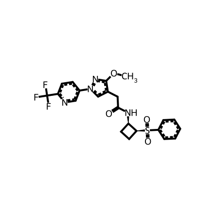 COc1nn(-c2ccc(C(F)(F)F)nc2)cc1CC(=O)N[C@@H]1CC[C@@H]1S(=O)(=O)c1ccccc1